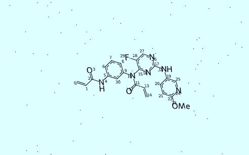 C=CC(=O)Nc1cccc(N(C(=O)C=C)c2nc(Nc3ccc(OC)nc3)ncc2F)c1